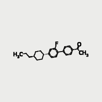 CCC[C@H]1CC[C@H](c2ccc(-c3ccc(C(C)=O)cc3)c(F)c2)CC1